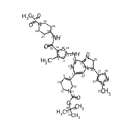 Cc1cc(NC2=NC(C3=CCCN(C(=O)OC(C)(C)C)C3)=CN3C2=NCC3c2cnn(C)c2)sc1C(=O)NC1CCN(S(C)(=O)=O)CC1